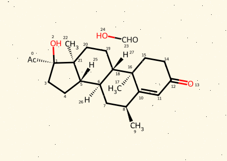 CC(=O)[C@@]1(O)CC[C@H]2[C@@H]3C[C@H](C)C4=CC(=O)CC[C@]4(C)[C@H]3CC[C@@]21C.O=CO